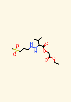 CCOC(=O)COC(=O)C(NNCCCS(C)(=O)=O)C(C)C